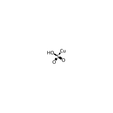 O=[S](=O)(O)[Cu]